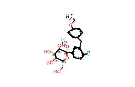 CCOc1ccc(Cc2cc([C@@]3(OC)O[C@H](CO)[C@@H](O)[C@H](O)[C@H]3O)ccc2Cl)cc1